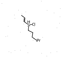 CC=C[SiH](Cl)CCCC(C)C